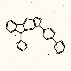 c1ccc(-c2ccc(-n3ccc4cc5c6ccccc6n(-c6ccccc6)c5cc43)cc2)cc1